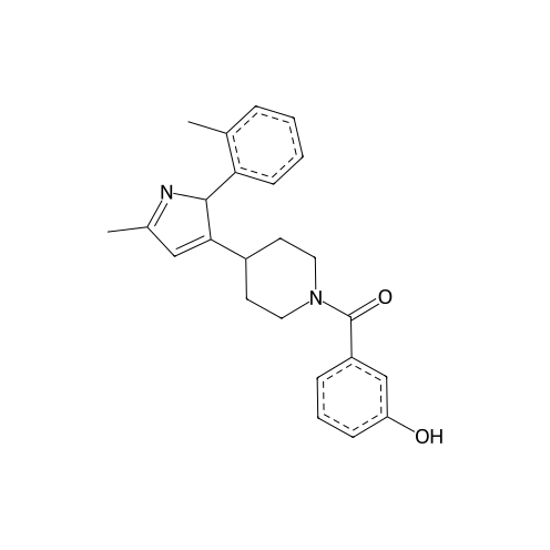 CC1=NC(c2ccccc2C)C(C2CCN(C(=O)c3cccc(O)c3)CC2)=C1